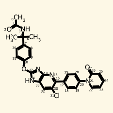 CC(=O)NC(C)(C)c1ccc(Oc2nc3nc(-c4ccc(-n5ccccc5=O)cc4)c(Cl)cc3[nH]2)cc1